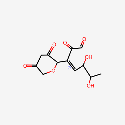 CC(O)C(O)/C=C(\C(=O)C=O)C1OCC(=O)CC1=O